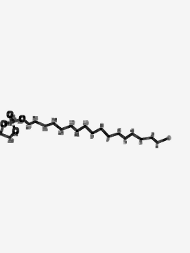 CCCCCCCCCCCCCCCCCCOP1(=O)OCCO1